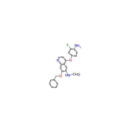 Nc1ccc(Oc2ccnc3cc(OCc4ccccc4)c(NC=O)cc23)cc1F